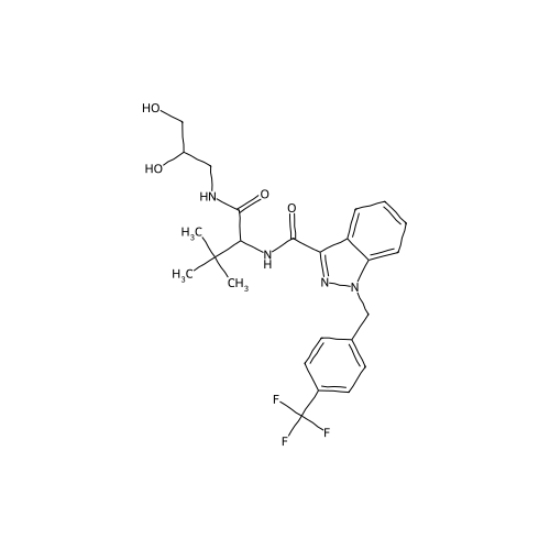 CC(C)(C)C(NC(=O)c1nn(Cc2ccc(C(F)(F)F)cc2)c2ccccc12)C(=O)NCC(O)CO